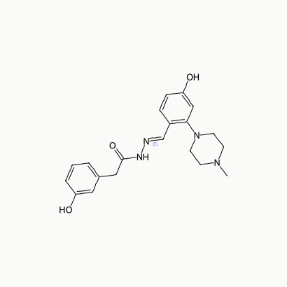 CN1CCN(c2cc(O)ccc2/C=N/NC(=O)Cc2cccc(O)c2)CC1